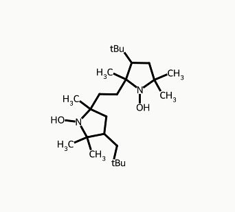 CC(C)(C)CC1CC(C)(CCC2(C)C(C(C)(C)C)CC(C)(C)N2O)N(O)C1(C)C